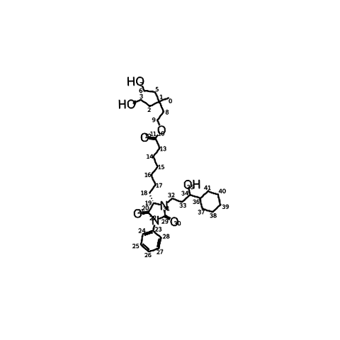 CC(CCO)(CCO)CCOC(=O)CCCCCC[C@H]1C(=O)N(c2ccccc2)C(=O)N1CCC(O)C1CCCCC1